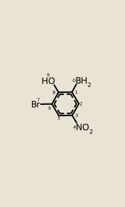 Bc1cc([N+](=O)[O-])cc(Br)c1O